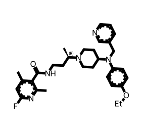 CCOc1ccc(N(Cc2cccnc2)C2CCN([C@H](C)CCNC(=O)c3c(C)cc(F)nc3C)CC2)cc1